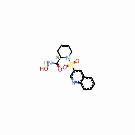 O=C(NO)[C@H]1CC=CCN1S(=O)(=O)c1cnc2ccccc2c1